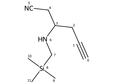 C#CCC(CC#N)NC[Si](C)(C)C